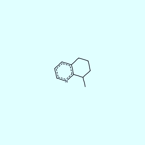 CC1CCCc2cccnc21